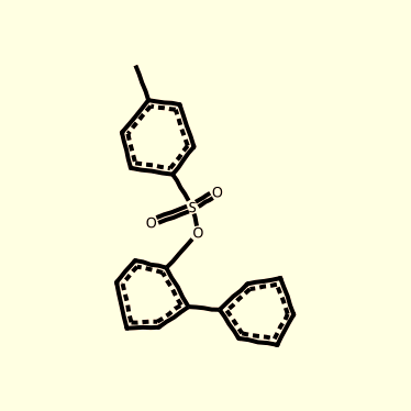 Cc1ccc(S(=O)(=O)Oc2ccccc2-c2ccccc2)cc1